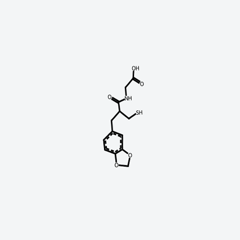 O=C(O)CNC(=O)C(CS)Cc1ccc2c(c1)OCO2